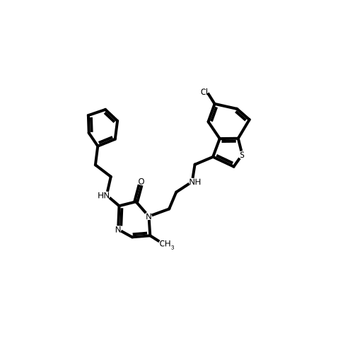 Cc1cnc(NCCc2ccccc2)c(=O)n1CCNCc1csc2ccc(Cl)cc12